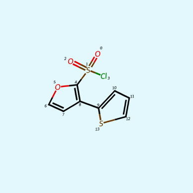 O=S(=O)(Cl)c1occc1-c1cccs1